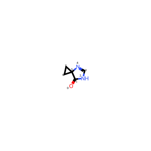 O=C1NC=NC12CC2